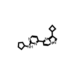 c1cc(-c2ccn3ncc(C4CCC4)c3n2)nc(NC2CCCC2)n1